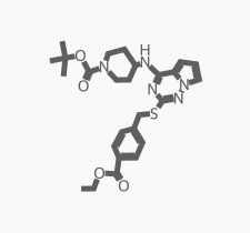 CCOC(=O)c1ccc(CSc2nc(NC3CCN(C(=O)OC(C)(C)C)CC3)c3cccn3n2)cc1